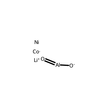 [Co].[Li+].[Ni].[O]=[Al][O-]